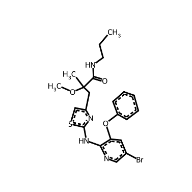 CCCNC(=O)C(C)(Cc1csc(Nc2ncc(Br)cc2Oc2ccccc2)n1)OC